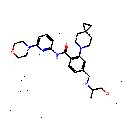 CC(CO)NSc1ccc(C(=O)Nc2cccc(N3CCOCC3)n2)c(N2CCC3(CC2)CC3)c1